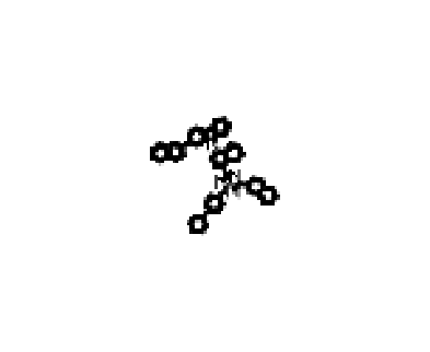 c1ccc(-c2ccc(-c3nc(-c4ccc5ccccc5c4)nc(-c4ccc(-n5c6ccccc6c6ccc(-c7ccc8ccccc8c7)cc65)c5ccccc45)n3)cc2)cc1